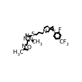 Cc1coc(-c2nnc(SCCCN3CC[C@]4(C[C@@H]4c4ccc(C(F)(F)F)cc4F)C3)n2C)n1